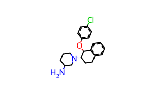 N[C@H]1CCCN([C@H]2CCc3ccccc3[C@@H]2Oc2ccc(Cl)cc2)C1